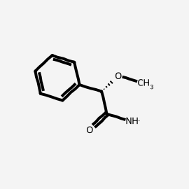 CO[C@H](C([NH])=O)c1ccccc1